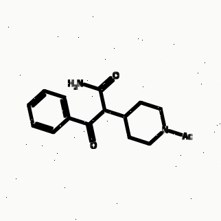 CC(=O)N1CCC(C(C(N)=O)C(=O)c2ccccc2)CC1